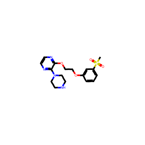 CS(=O)(=O)c1cccc(OCCOc2nccnc2N2CCNCC2)c1